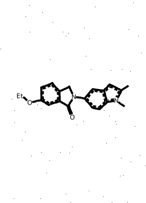 CCOc1ccc2c(c1)C(=O)N(c1ccc3c(c1)cc(C)n3C)C2